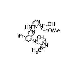 CO[C@H]1CCN(c2nccc(Nc3cc4c(C(C)C)ccc(N5C[C@H](c6nncn6C)[C@H]5C)c4cn3)n2)C[C@@H]1O